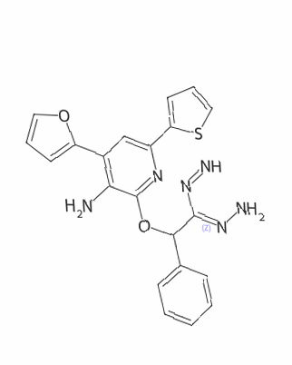 N=N/C(=N\N)C(Oc1nc(-c2cccs2)cc(-c2ccco2)c1N)c1ccccc1